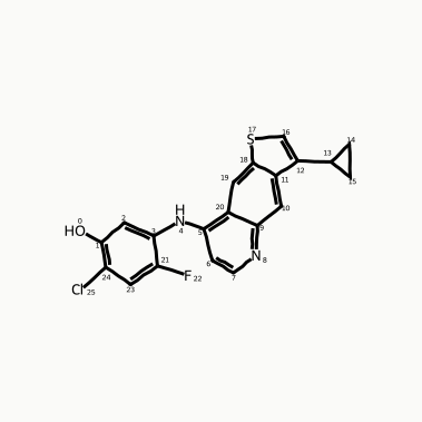 Oc1cc(Nc2ccnc3cc4c(C5CC5)csc4cc23)c(F)cc1Cl